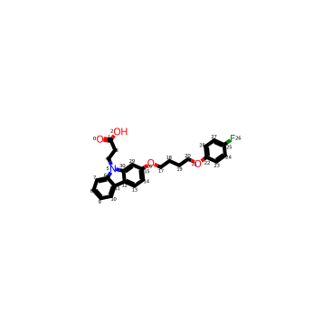 O=C(O)CCn1c2ccccc2c2ccc(OCCCCOc3ccc(F)cc3)cc21